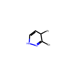 CCC1=NNC=CC1C(C)C